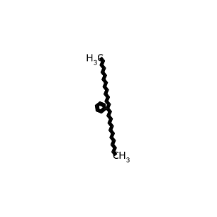 CCCCCCCCCCCCCCCCCCCCCCCCCCCC.c1ccccc1